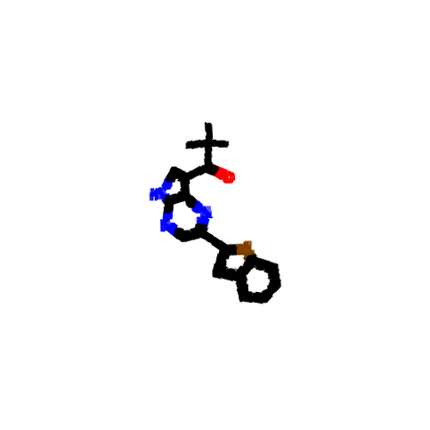 CC(C)(C)C(=O)c1c[nH]c2ncc(-c3cc4ccccc4s3)nc12